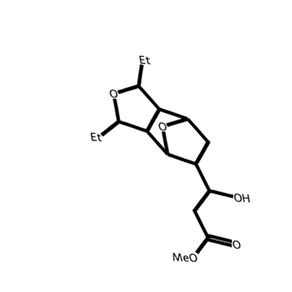 CCC1OC(CC)C2C3OC(CC3C(O)CC(=O)OC)C12